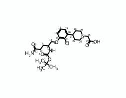 CC(C)(C)OC(=O)NC(CCC(N)=O)COc1cccc(C2CCN(CC(=O)O)CC2)c1Cl